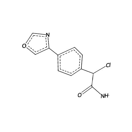 [NH]C(=O)C(Cl)c1ccc(-c2cocn2)cc1